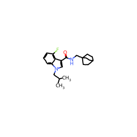 CC(C)Cn1cc(C(=O)NCC23CCC(CC2)CC3)c2c(F)cccc21